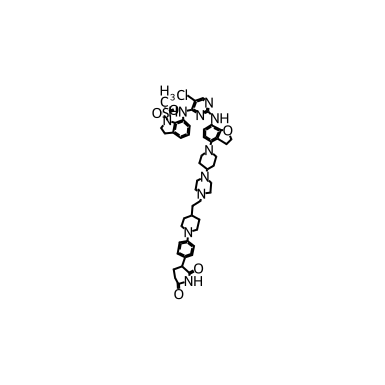 CS(=O)(=O)N1CCc2cccc(Nc3nc(Nc4ccc(N5CCC(N6CCN(CCC7CCN(c8ccc(C9CCC(=O)NC9=O)cc8)CC7)CC6)CC5)c5c4OCC5)ncc3Cl)c21